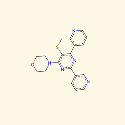 CSc1c(-c2cccnc2)nc(-c2cccnc2)nc1N1CCOCC1